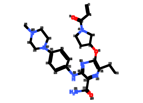 C=CC(=O)N1CCC(Oc2nc(Nc3ccc(N4CCN(C)CC4)cc3)c(C(N)=O)nc2CC)C1